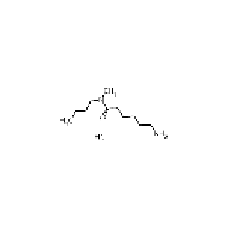 CCCCN(C)C(=O)CCCCCN.Cl